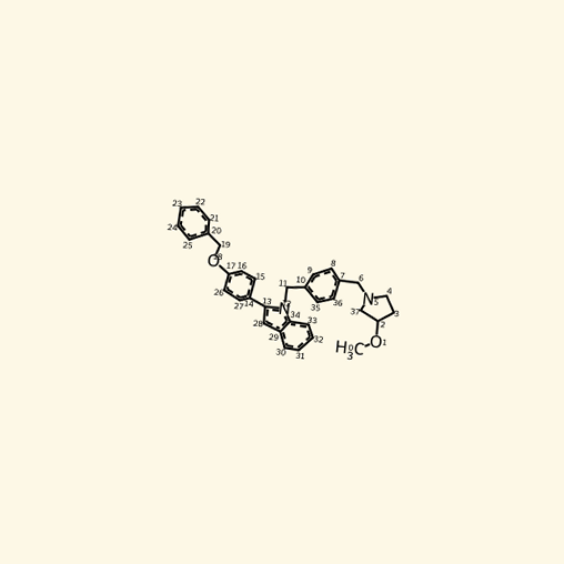 COC1CCN(Cc2ccc(Cn3c(-c4ccc(OCc5ccccc5)cc4)cc4ccccc43)cc2)C1